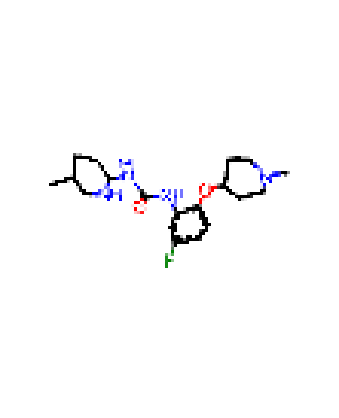 CC1CCC(NC(=O)Nc2cc(F)ccc2OC2CCN(C)CC2)NC1